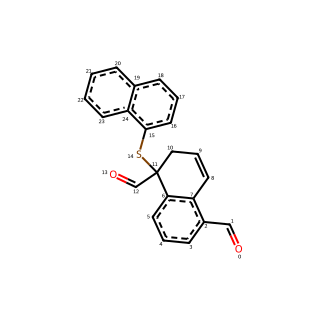 O=Cc1cccc2c1C=CCC2(C=O)Sc1cccc2ccccc12